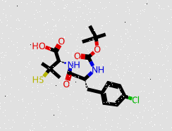 CC(C)(C)OC(=O)N[C@H](Cc1ccc(Cl)cc1)C(=O)N[C@@H](C(=O)O)C(C)(C)S